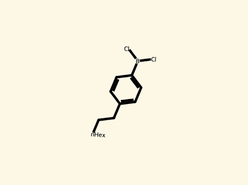 CCCCCCCCc1ccc(B(Cl)Cl)cc1